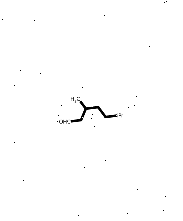 CC(C)CCC(C)CC=O